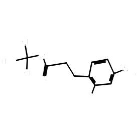 CC(C)(C)OC(=O)CCc1ccc(N)cc1F